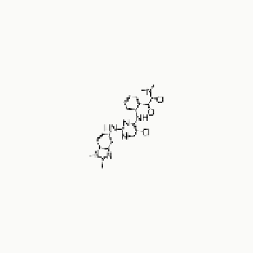 Cc1nc2cc(Nc3ncc(Cl)c(Nc4ccccc4C(=O)C(=O)N(C)C)n3)ccc2n1C